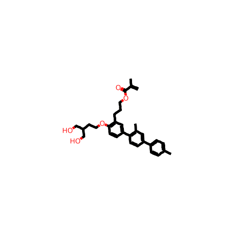 C=C(C)C(=O)OCCCc1cc(-c2ccc(-c3ccc(C)cc3)cc2C)ccc1OCCC(CO)CO